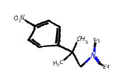 CCN(CC)CC(C)(C)c1ccc([N+](=O)[O-])cc1